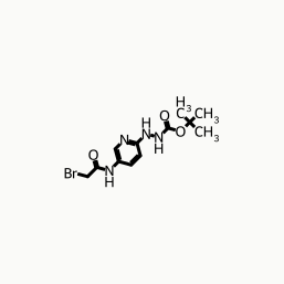 CC(C)(C)OC(=O)NNc1ccc(NC(=O)CBr)cn1